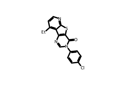 CCc1ccnc2sc3c(=O)n(-c4ccc(Cl)cc4)cnc3c12